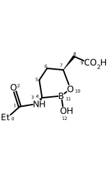 CCC(=O)N[C@H]1CC[C@@H](CC(=O)O)OB1O